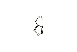 NCc1cocn1